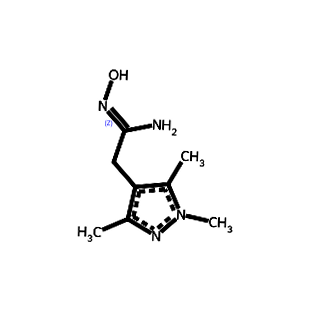 Cc1nn(C)c(C)c1C/C(N)=N/O